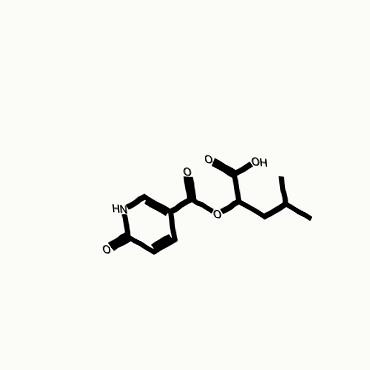 CC(C)CC(OC(=O)c1ccc(=O)[nH]c1)C(=O)O